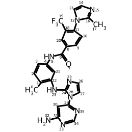 Cc1ccc(NC(=O)c2ccc(-n3ccnc3C)c(C(F)(F)F)c2)cc1Nc1nccn1-c1cc(N)ncn1